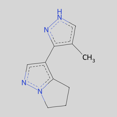 Cc1c[nH]nc1-c1cnn2c1CCC2